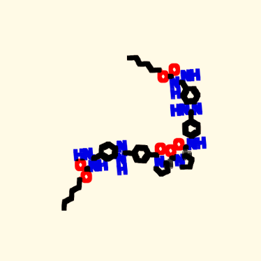 CCCCCCOC(=O)NC(=N)c1ccc2nc(-c3ccc(NC(=O)[C@@H]4CCCN4C(=O)[C@@H]4CCCN4C(=O)c4ccc(-c5nc6ccc(C(=N)NC(=O)OCCCCCC)cc6[nH]5)cc4)cc3)[nH]c2c1